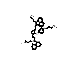 CCCCOc1ccc(SC2=C(/C=C/C3=[N+](CCCC)c4cccc5cccc3c45)CC/C2=C\C=c2/c3cccc4cccc(c43)n2CCCC)cc1